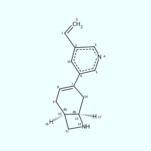 C=Cc1cncc(C2=CC[C@@H]3CN[C@@H]3C2)c1